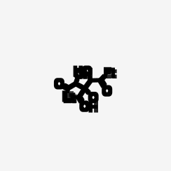 CCC(=O)C(O)C(O)(C(=O)CC)C(O)C(=O)CC